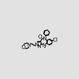 CN1c2ccc(Cl)cc2N(C2=CCCC=C2)C(=O)c2cn(CCN3CCOCC3)nc21